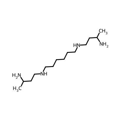 CC(N)CCNCCCCCCNCCC(C)N